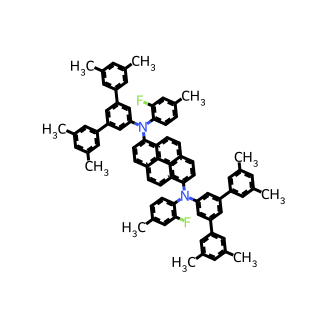 Cc1cc(C)cc(-c2cc(-c3cc(C)cc(C)c3)cc(N(c3ccc(C)cc3F)c3ccc4ccc5c(N(c6cc(-c7cc(C)cc(C)c7)cc(-c7cc(C)cc(C)c7)c6)c6ccc(C)cc6F)ccc6ccc3c4c65)c2)c1